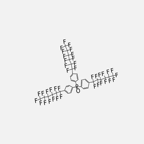 O=P(c1ccc(C(F)(F)C(F)(F)C(F)(F)C(F)(F)C(F)(F)C(F)(F)F)cc1)(c1ccc(C(F)(F)C(F)(F)C(F)(F)C(F)(F)C(F)(F)C(F)(F)F)cc1)c1ccc(C(F)(F)C(F)(F)C(F)(F)C(F)(F)C(F)(F)C(F)(F)F)cc1